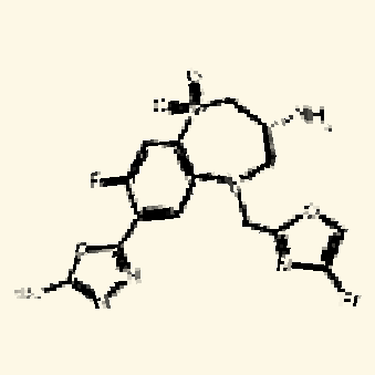 CCc1coc(CN2C[C@@H](N)CS(=O)(=O)c3cc(F)c(-c4nnc(C(C)(C)C)o4)cc32)n1